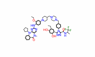 CCOc1cc(N2CCC(CN3CCN(Cc4ccc(-n5c(C(=O)NC(C)C(F)(F)F)nnc5-c5cc(CC)c(O)cc5O)cc4)CC3)CC2)ccc1Nc1ncc2c(n1)N(C1CCCC1)c1ccccc1C(=O)N2C